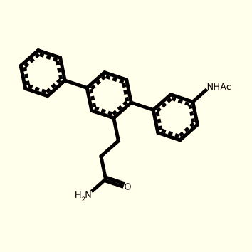 CC(=O)Nc1cccc(-c2ccc(-c3ccccc3)cc2CCC(N)=O)c1